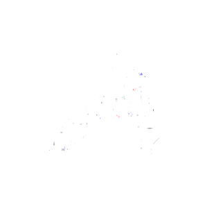 COc1cc(C(=O)NCC(O)(c2cc3c(c(-c4ccc(F)cc4)n2)OC[C@]3(C)C(=O)NC2CCCCC2)C(F)(F)F)cc2cccnc12